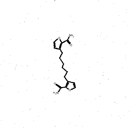 NC(=O)c1occc1CCCCCCc1ccoc1C(N)=O